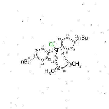 CCCCc1ccc([Si](Cl)(c2ccc(CCCC)cc2)c2cc(C)cc(C)c2)cc1